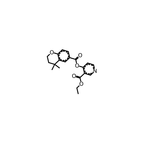 CCOC(=O)c1cnccc1OC(=O)c1ccc2c(c1)C(C)(C)CCO2